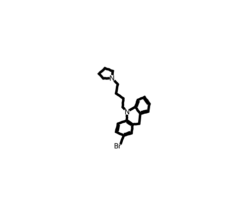 Brc1ccc2c(c1)Cc1ccccc1N2CCCCN1CCCC1